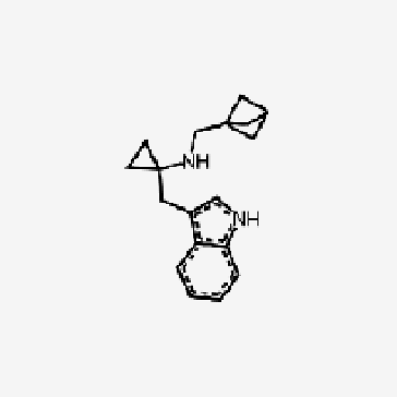 c1ccc2c(CC3(NCC45CC(C4)C5)CC3)c[nH]c2c1